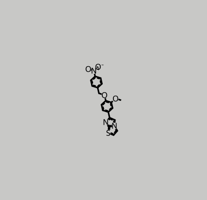 COc1cc(-c2cn3ccsc3n2)ccc1OCc1ccc([N+](=O)[O-])cc1